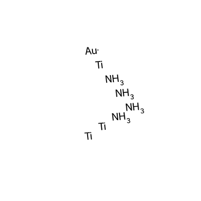 N.N.N.N.[Au].[Ti].[Ti].[Ti]